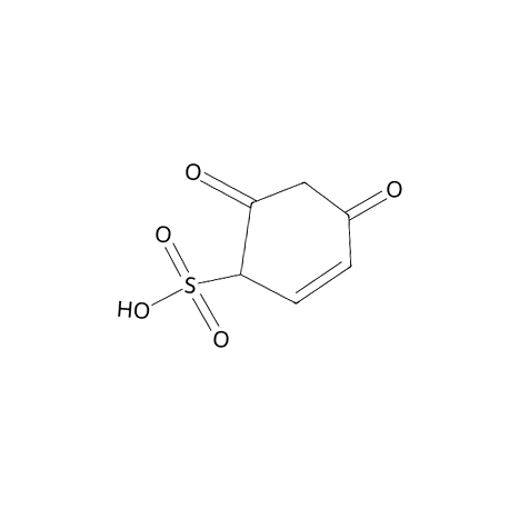 O=C1C=CC(S(=O)(=O)O)C(=O)C1